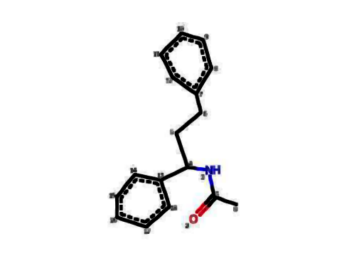 CC(=O)NC(CCc1ccccc1)c1ccccc1